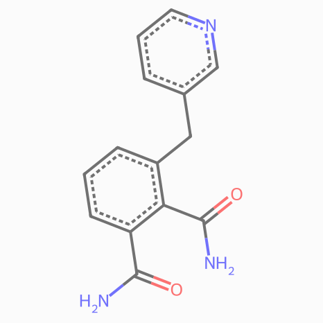 NC(=O)c1cccc(Cc2cccnc2)c1C(N)=O